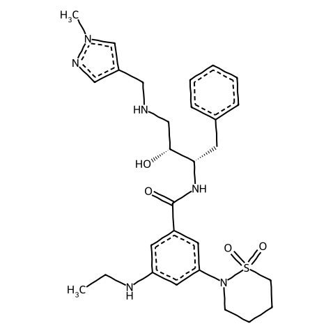 CCNc1cc(C(=O)N[C@@H](Cc2ccccc2)[C@H](O)CNCc2cnn(C)c2)cc(N2CCCCS2(=O)=O)c1